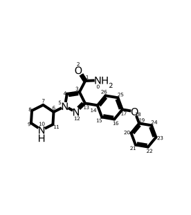 NC(=O)c1cn(C2CCCNC2)nc1-c1ccc(Oc2ccccc2)cc1